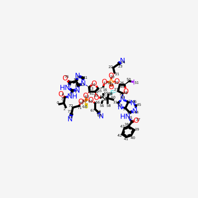 CC(C)C(=O)Nc1nc2c(ncn2[C@@H]2O[C@H](COP(=O)(OCCC#N)O[C@H]3[C@@H](F)[C@H](N4C=NC5C(NC(=O)c6ccccc6)=NC=NC54)O[C@@H]3CI)[C@@H](O[Si](C)(C)C(C)(C)C)[C@H]2OP(=S)(OCCC#N)OCCC#N)c(=O)[nH]1